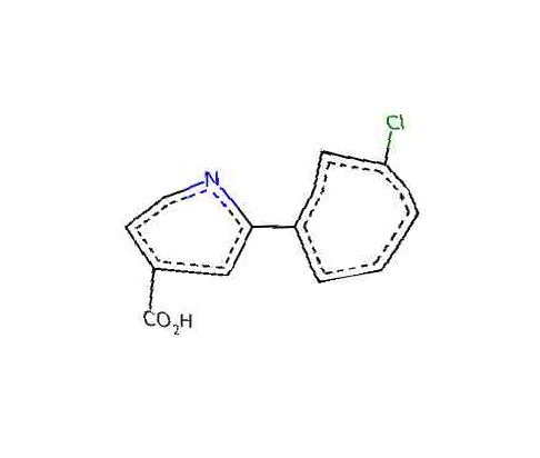 O=C(O)c1ccnc(-c2cccc(Cl)c2)c1